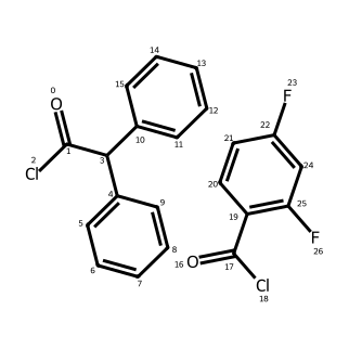 O=C(Cl)C(c1ccccc1)c1ccccc1.O=C(Cl)c1ccc(F)cc1F